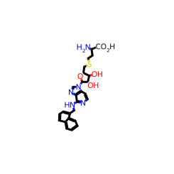 NC(CCSCC1OC(n2cnc3c(NCc4cccc5ccccc45)nccc32)C(O)C1O)C(=O)O